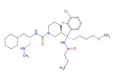 CCCC(=O)N[C@](CCCCOC)(c1cccc(Cl)c1F)[C@@H]1CCCN(C(=O)N[C@H](CNC)CC2CCCCC2)C1